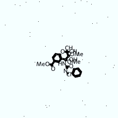 COC(=O)c1ccc2c(c1)C(NC(=NC#N)Oc1ccccc1)(OC)C(O)(OC)C(C)(C)O2